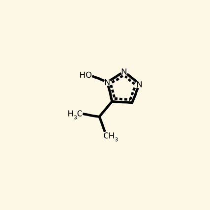 CC(C)c1cnnn1O